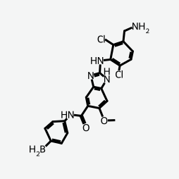 Bc1ccc(NC(=O)c2cc3nc(Nc4c(Cl)ccc(CN)c4Cl)[nH]c3cc2OC)cc1